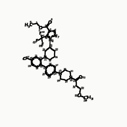 CCOC(=O)c1cnn(C2CCCN(c3cc(Cl)ccc3-c3ccc(N4CCN(C(=O)CCOC)CC4)cc3)C2)c1C(F)(F)F